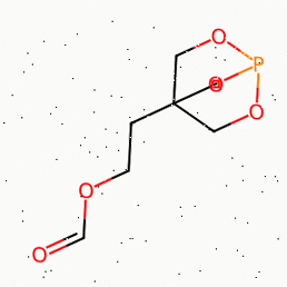 O=COCCC12COP(OC1)OC2